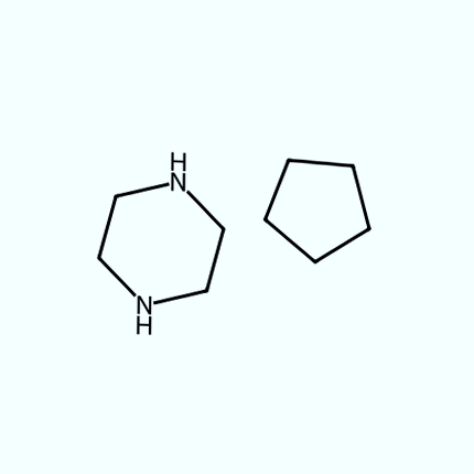 C1CCCC1.C1CNCCN1